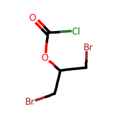 O=C(Cl)OC(CBr)CBr